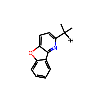 [2H]C(C)(C)c1ccc2oc3ccccc3c2n1